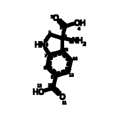 NC1(C(=O)O)CNc2cc(C(=O)O)ccc21